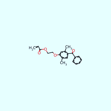 C=CC(=O)OCCOc1cc(C)c(C(=O)c2ccccc2)cc1C